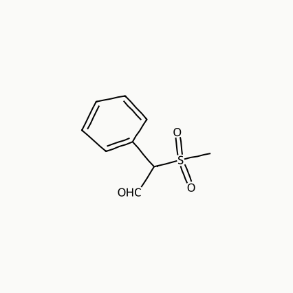 CS(=O)(=O)[C](C=O)c1ccccc1